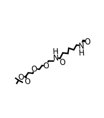 CC(C)(C)OC(=O)CCOCCOCCNC(=O)CCCCCNC=O